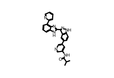 CC(C)C(=O)Nc1cncc(-c2ccc3[nH]nc(-c4nc5c(-c6ccccn6)cccc5[nH]4)c3c2)c1